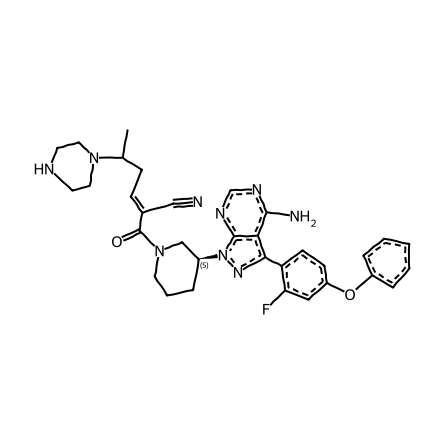 CC(CC=C(C#N)C(=O)N1CCC[C@H](n2nc(-c3ccc(Oc4ccccc4)cc3F)c3c(N)ncnc32)C1)N1CCNCC1